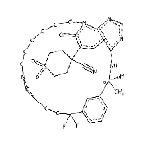 C[C@@H]1Nc2ncnc3c2cc(C2(C#N)CCS(=O)(=O)CC2)c(=O)n3CCCCCCN2CC(CCC(F)(F)c3cccc1c3)C2